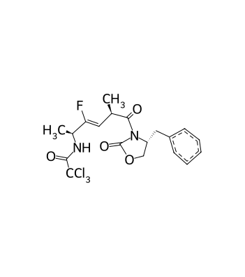 C[C@H](C=C(F)[C@H](C)NC(=O)C(Cl)(Cl)Cl)C(=O)N1C(=O)OC[C@H]1Cc1ccccc1